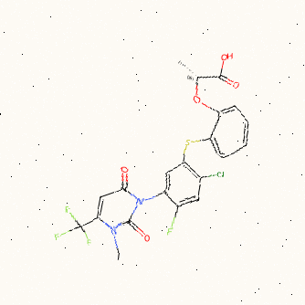 C[C@@H](Oc1ccccc1Sc1cc(-n2c(=O)cc(C(F)(F)F)n(C)c2=O)c(F)cc1Cl)C(=O)O